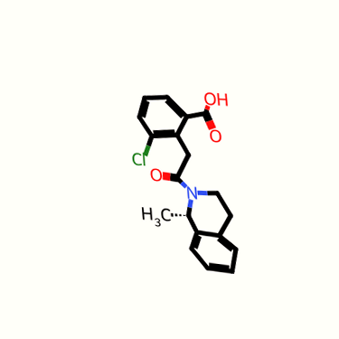 C[C@H]1c2ccccc2CCN1C(=O)Cc1c(Cl)cccc1C(=O)O